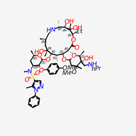 CCCNC[C@]1(O)[C@H](C)OC(O[C@H]2[C@H](C)[C@@H](O[C@@H]3O[C@H](C)C[C@H](N(C)S(=O)(=O)c4cnn(-c5ccccc5)c4C)[C@H]3Oc3ccc(OC)cc3)[C@](C)(O)C[C@@H](C)CN[C@H](C)[C@@H](O)[C@](C)(O)[C@@H](CC)OC(=O)[C@@H]2C)C[C@@]1(C)OC